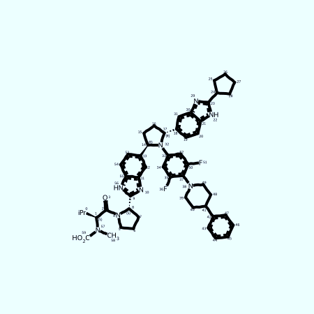 CC(C)[C@@H](C(=O)N1CCC[C@H]1c1nc2cc([C@H]3CC[C@H](c4ccc5[nH]c(C6CCCC6)nc5c4)N3c3cc(F)c(N4CCC(c5ccccc5)CC4)c(F)c3)ccc2[nH]1)N(C)C(=O)O